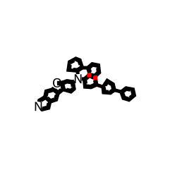 c1ccc(-c2ccc(-c3ccc(N(c4ccc5c(c4)oc4cc6cnccc6cc45)c4ccccc4-c4ccccc4)cc3)cc2)cc1